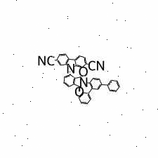 N#Cc1ccc2c3ccc(C#N)cc3n(-c3cccc4c3C(=O)N(c3ccc(-c5ccccc5)cc3-c3ccccc3)C4=O)c2c1